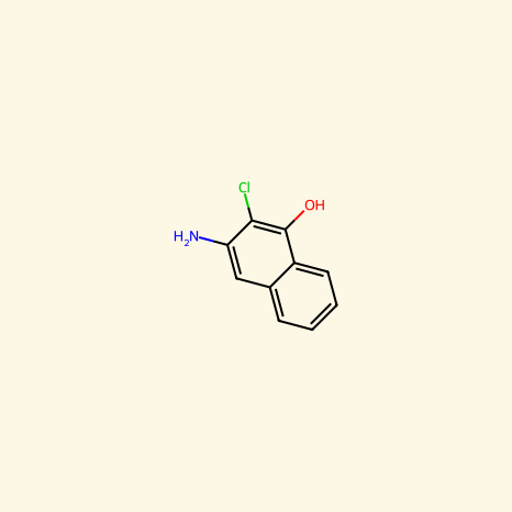 Nc1cc2ccccc2c(O)c1Cl